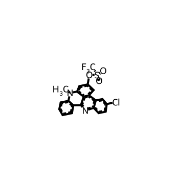 CN1c2ccccc2-c2nc3ccc(Cl)cc3c3cc(OS(=O)(=O)C(F)(F)F)cc1c23